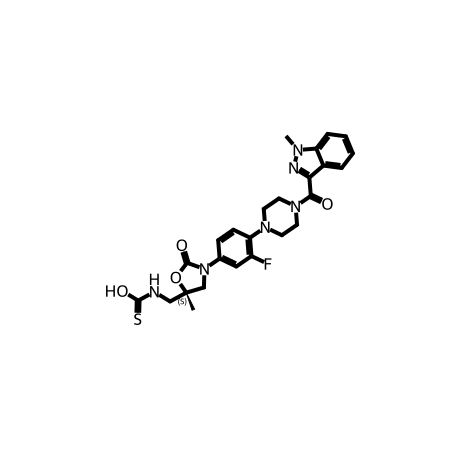 Cn1nc(C(=O)N2CCN(c3ccc(N4C[C@](C)(CNC(O)=S)OC4=O)cc3F)CC2)c2ccccc21